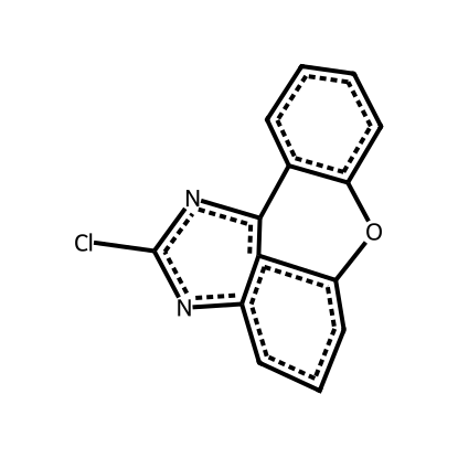 Clc1nc2c3c(cccc3n1)Oc1ccccc1-2